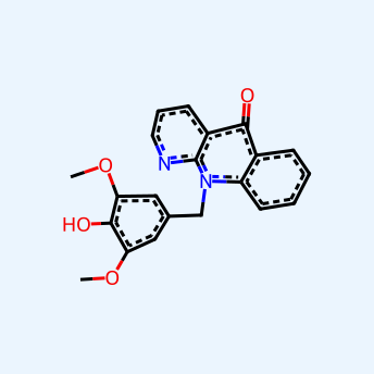 COc1cc(Cn2c3ccccc3c(=O)c3cccnc32)cc(OC)c1O